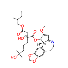 CCC(C)COC(=O)C[C@](O)(CCCC(C)(C)O)C(=O)OC1C(OC)=CC23CCCN2CCc2cc4c(cc2[C@H]13)OCO4